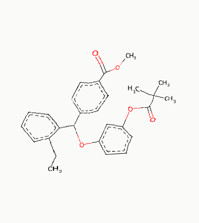 CCc1ccccc1C(Oc1cccc(OC(=O)C(C)(C)C)c1)c1ccc(C(=O)OC)cc1